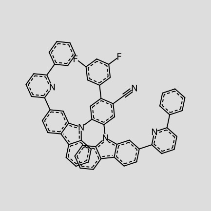 N#Cc1cc(-n2c3ccccc3c3ccc(-c4cccc(-c5ccccc5)n4)cc32)c(-n2c3ccccc3c3ccc(-c4cccc(-c5ccccc5)n4)cc32)cc1-c1cc(F)cc(F)c1